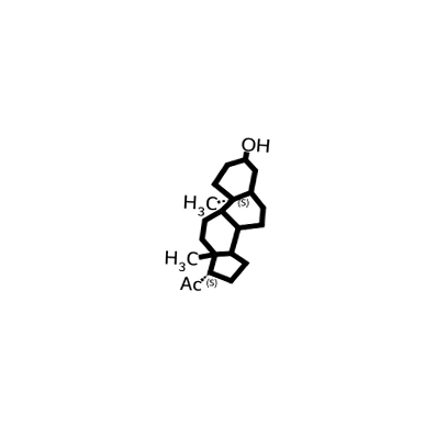 CC(=O)[C@H]1CCC2C3CCC4CC(O)CC[C@]4(C)C3CCC21C